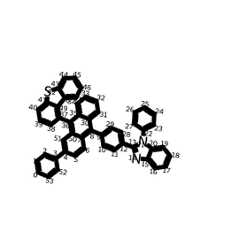 c1ccc(-c2ccc3c(-c4ccc(-c5nc6ccccc6n5-c5ccccc5)cc4)c4ccccc4c(-c4cccc5sc6ccccc6c45)c3c2)cc1